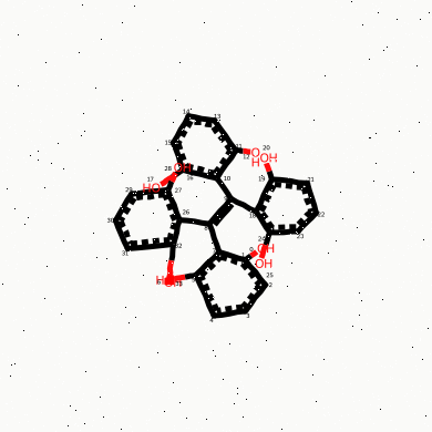 Oc1cccc(O)c1C(=C(c1c(O)cccc1O)c1c(O)cccc1O)c1c(O)cccc1O